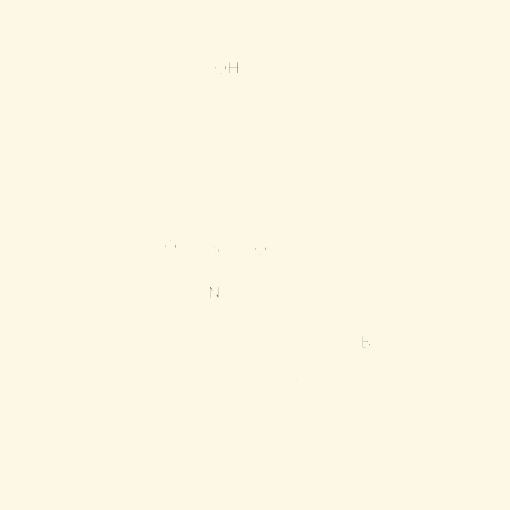 CC1c2ccccc2-c2sc(Br)cc2N1S(=O)(=O)c1ccc(O)cc1